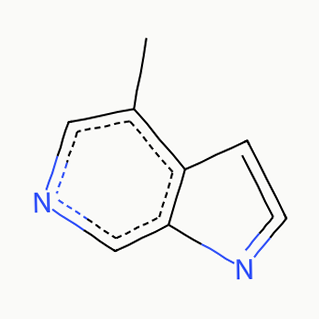 Cc1cncc2c1C=C=N2